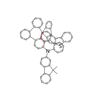 CC1(C)c2ccccc2-c2ccc(N(c3ccc4c(c3)C3(c5ccccc5-c5ccccc5-4)c4ccccc4-c4c3ccc3sc5ccccc5c43)c3ccccc3-c3ccccc3)cc21